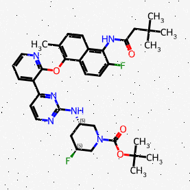 Cc1ccc2c(NC(=O)CC(C)(C)C)c(F)ccc2c1Oc1ncccc1-c1ccnc(N[C@H]2C[C@H](F)CN(C(=O)OC(C)(C)C)C2)n1